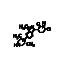 C[C@@H]1CNC[C@@H](C)N1c1ccc2c(C3CCC(=O)NC3=O)nn(C)c2c1